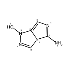 Nc1ncc2n(O)ncn12